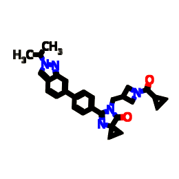 CC(C)n1cc2ccc(-c3ccc(C4=NC5(CC5)C(=O)N4CC4CN(C(=O)C5CC5)C4)cc3)cc2n1